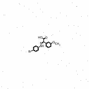 COc1cccc(/C(=N\Nc2ccc(Br)cc2)C(=O)O)c1